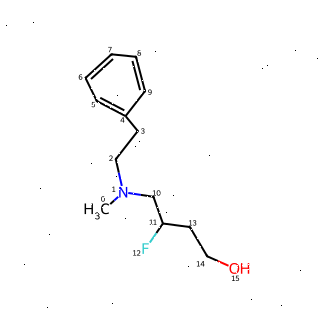 CN(CCc1ccccc1)CC(F)CCO